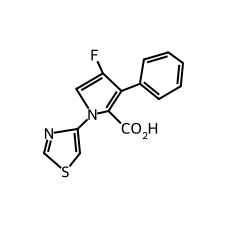 O=C(O)c1c(-c2ccccc2)c(F)cn1-c1cscn1